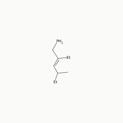 CC/C(=C\C(C)CC)CP